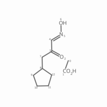 CC(=O)O.O=C(C=NO)CC1CCCC1